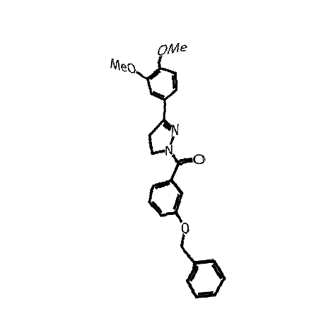 COc1ccc(C2=NN(C(=O)c3cccc(OCc4ccccc4)c3)CC2)cc1OC